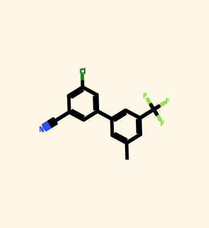 Cc1cc(-c2cc(Cl)cc(C#N)c2)cc(C(F)(F)F)c1